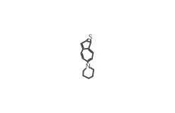 C1=CC(N2CCCCC2)=CC=C2C1=CC1SC21